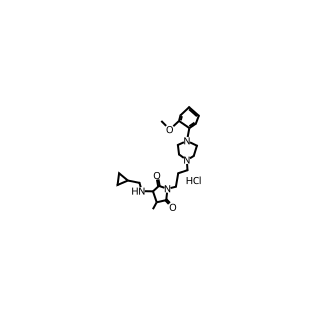 COc1ccccc1N1CCN(CCCN2C(=O)C(C)C(NCC3CC3)C2=O)CC1.Cl